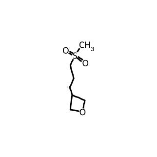 CS(=O)(=O)CC[CH]C1COC1